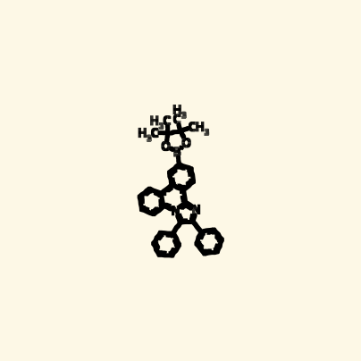 CC1(C)OB(c2ccc3c(c2)c2ccccc2n2c(-c4ccccc4)c(-c4ccccc4)nc32)OC1(C)C